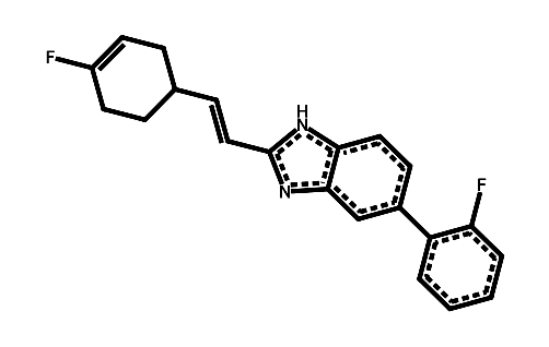 FC1=CCC(/C=C/c2nc3cc(-c4ccccc4F)ccc3[nH]2)CC1